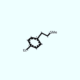 CCc1ccc(CCSC)cc1